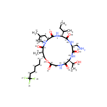 CCC(C)[C@@H]1NC(=O)[C@H](CC(C)C)N(C)C(=O)[C@H](C)[C@@H](CCCCCC(F)(F)F)OC(=O)CNC(=O)[C@H](C(C)O)NC(=O)[C@H](CN)NC1=O